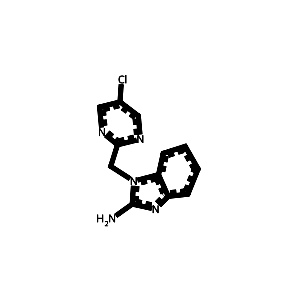 Nc1nc2ccccc2n1Cc1ncc(Cl)cn1